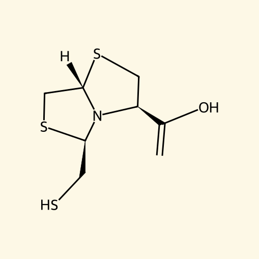 C=C(O)[C@@H]1CS[C@H]2CS[C@H](CS)N21